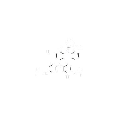 Cc1cc2c3c(c1)N1c4c(c#ccc4B3c3cc(C(C)(C)C)ccc3N2c2ccc(C(C)(C)C)cc2)C2(C)CCCCC12C